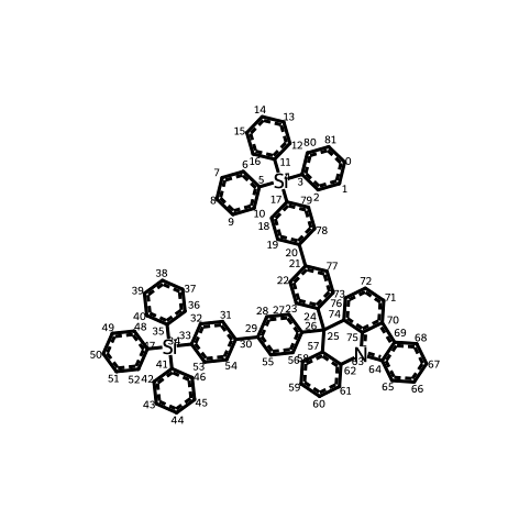 c1ccc([Si](c2ccccc2)(c2ccccc2)c2ccc(-c3ccc(C4(c5ccc(-c6ccc([Si](c7ccccc7)(c7ccccc7)c7ccccc7)cc6)cc5)c5ccccc5-n5c6ccccc6c6cccc4c65)cc3)cc2)cc1